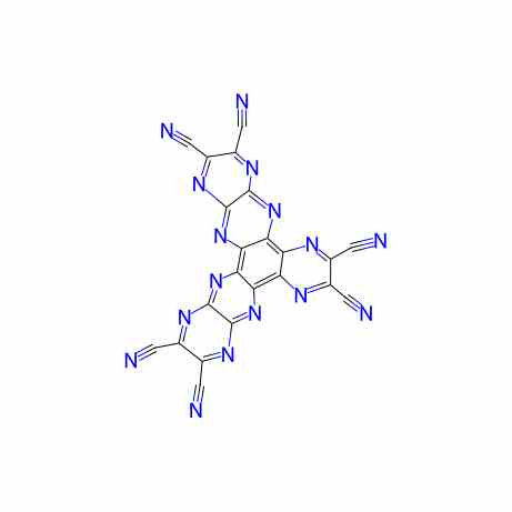 N#Cc1nc2nc3c4nc(C#N)c(C#N)nc4c4nc5nc(C#N)c(C#N)nc5nc4c3nc2nc1C#N